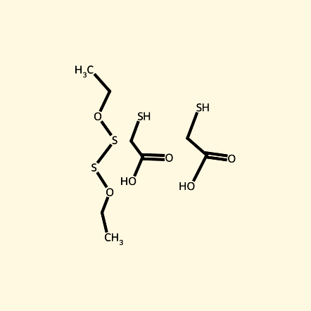 CCOSSOCC.O=C(O)CS.O=C(O)CS